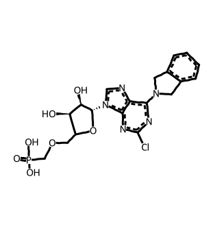 O=P(O)(O)COCC1O[C@@H](n2cnc3c(N4Cc5ccccc5C4)nc(Cl)nc32)[C@H](O)[C@@H]1O